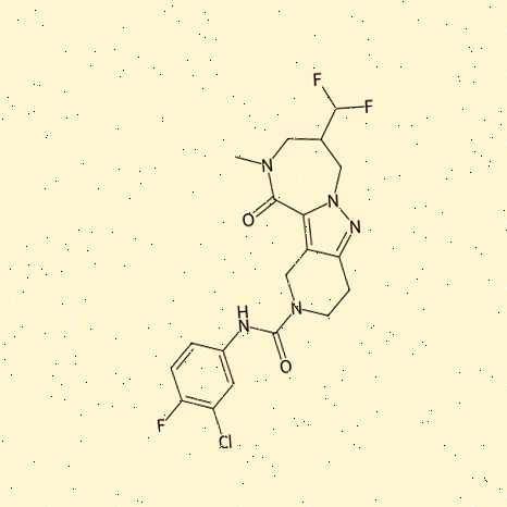 CN1CC(C(F)F)Cn2nc3c(c2C1=O)CN(C(=O)Nc1ccc(F)c(Cl)c1)CC3